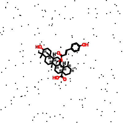 C[C@H]1[C@H](C)CC[C@]2(C(=O)O)CC[C@]3(COC(=O)C=Cc4ccc(O)cc4)C(=CC[C@@H]4[C@@]5(C)CC[C@H](O)C(C)(C)C5CC[C@]43C)[C@H]12